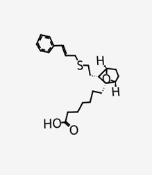 O=C(O)CCCCCC[C@@H]1[C@H](CCSCC=Cc2ccccc2)[C@@H]2CC[C@H]1O2